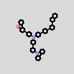 c1cc(-c2ccc(-c3ccc(N(c4ccc(-c5cccc(-n6c7ccccc7c7ccccc76)c5)cc4)c4ccc(-c5ccc6oc7ccccc7c6c5)cc4)cc3)cc2)cc(-c2ccc3ccccc3c2)c1